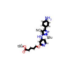 CC(C)(C)OC(=O)CCCCOc1cc(Nc2c(C#N)c(-c3ccc(N)cc3)nn2C(C)(C)C)ccn1